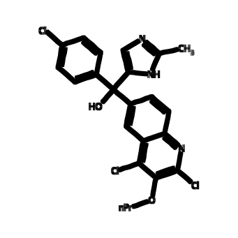 CCCOc1c(Cl)nc2ccc(C(O)(c3ccc(Cl)cc3)c3cnc(C)[nH]3)cc2c1Cl